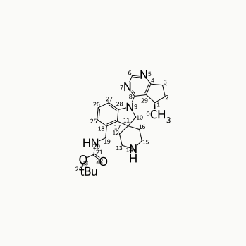 C[C@@H]1C[CH]c2ncnc(N3CC4(CCNCC4)c4c(CNC(=O)OC(C)(C)C)cccc43)c21